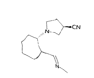 C/N=C/C1CCCC[C@@H]1N1CC[C@@H](C#N)C1